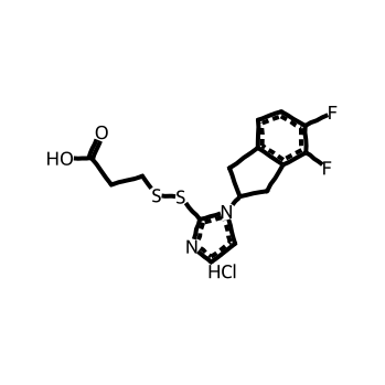 Cl.O=C(O)CCSSc1nccn1C1Cc2ccc(F)c(F)c2C1